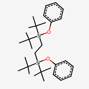 CC(C)(C)[Si](CC[Si](Oc1ccccc1)(C(C)(C)C)C(C)(C)C)(Oc1ccccc1)C(C)(C)C